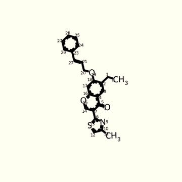 CCc1cc2c(=O)c(-c3nc(C)cs3)coc2cc1OCC=Cc1ccccc1